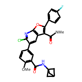 CNC(=O)c1c(-c2ccc(F)cc2)oc2nc(Cl)c(-c3ccc(OC)c(C(=O)NC45CC(C4)C5)c3)cc12